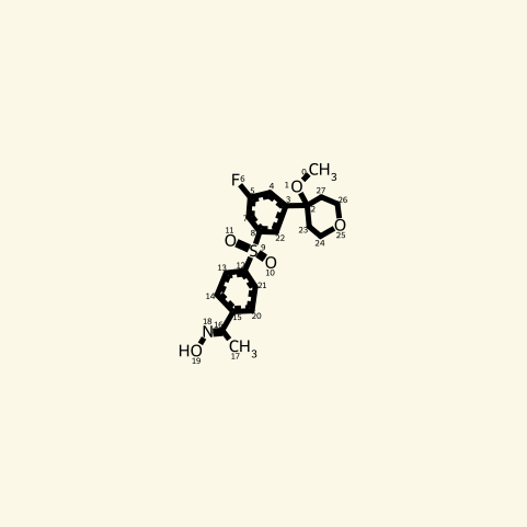 COC1(c2cc(F)cc(S(=O)(=O)c3ccc(/C(C)=N/O)cc3)c2)CCOCC1